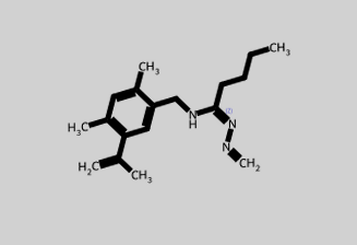 C=N/N=C(/CCCC)NCc1cc(C(=C)C)c(C)cc1C